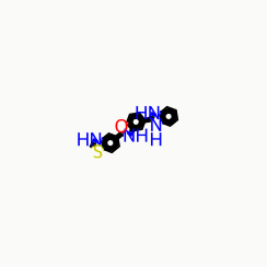 c1ccc2c(c1)NC(c1ccc3c(c1)NC(c1ccc4c(c1)NCS4)O3)N2